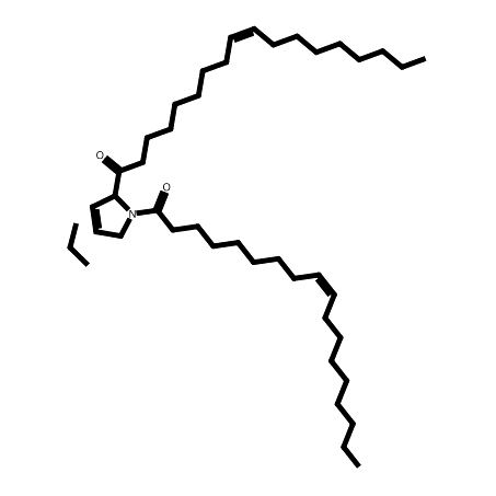 CCC.CCCCCCCC/C=C\CCCCCCCC(=O)C1C=CCN1C(=O)CCCCCCC/C=C\CCCCCCCC